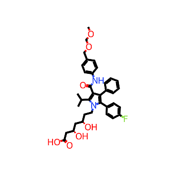 COCOCc1ccc(NC(=O)c2c(-c3ccccc3)c(-c3ccc(F)cc3)n(CC[C@@H](O)C[C@@H](O)CC(=O)O)c2C(C)C)cc1